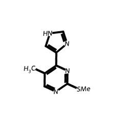 CSc1ncc(C)c(-c2c[nH]cn2)n1